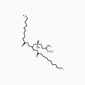 NC(COP(=O)(O)OC(COC(=O)CCCCCCCCC(F)(F)F)COC(=O)CCCCCCCCC(F)(F)F)C(=O)O